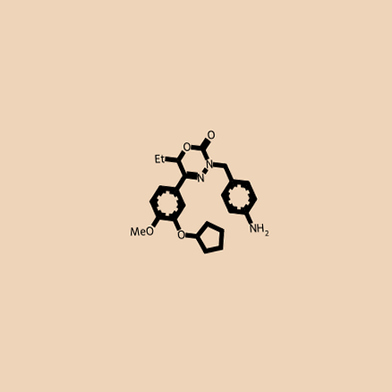 CCC1OC(=O)N(Cc2ccc(N)cc2)N=C1c1ccc(OC)c(OC2CCCC2)c1